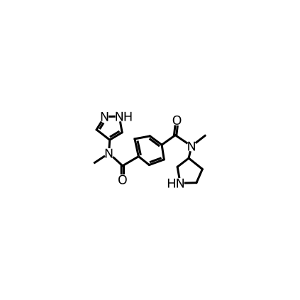 CN(C(=O)c1ccc(C(=O)N(C)C2CCNC2)cc1)c1cn[nH]c1